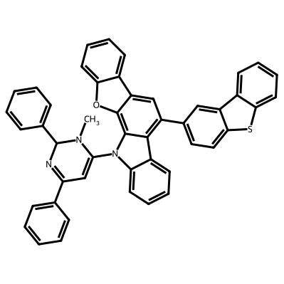 CN1C(n2c3ccccc3c3c(-c4ccc5sc6ccccc6c5c4)cc4c5ccccc5oc4c32)=CC(c2ccccc2)=NC1c1ccccc1